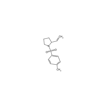 C=CC1CCCN1S(=O)(=O)c1ccc(C)cc1